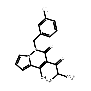 NC(C(=O)O)C(=O)c1c(O)c2cccn2n(Cc2cccc(C(F)(F)F)c2)c1=O